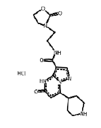 Cl.O=C(NCCN1CCOC1=O)c1cnn2c(C3CCNCC3)cc(=O)[nH]c12